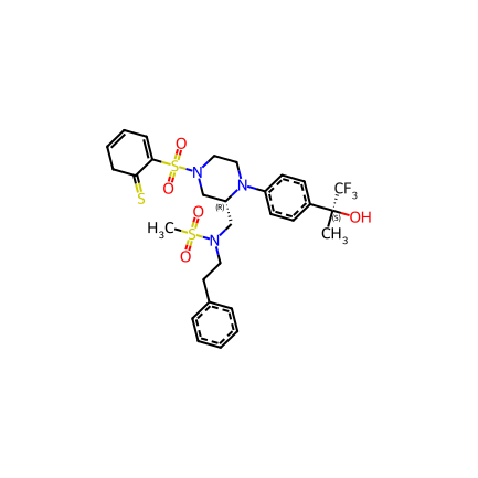 C[C@](O)(c1ccc(N2CCN(S(=O)(=O)C3=CC=CCC3=S)C[C@H]2CN(CCc2ccccc2)S(C)(=O)=O)cc1)C(F)(F)F